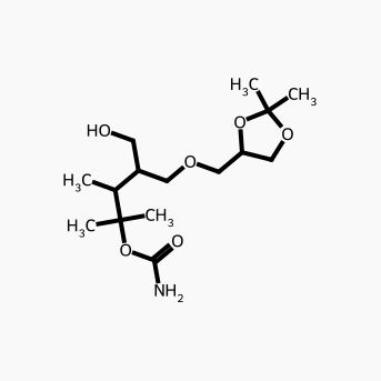 CC(C(CO)COCC1COC(C)(C)O1)C(C)(C)OC(N)=O